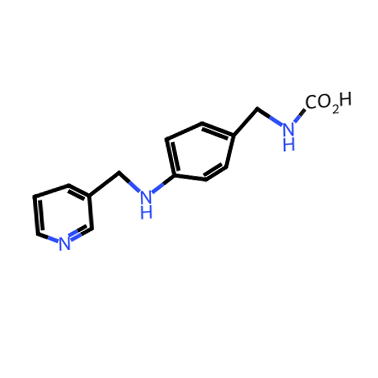 O=C(O)NCc1ccc(NCc2cccnc2)cc1